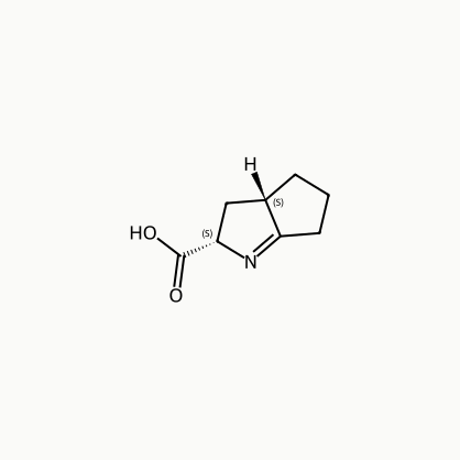 O=C(O)[C@@H]1C[C@@H]2CCCC2=N1